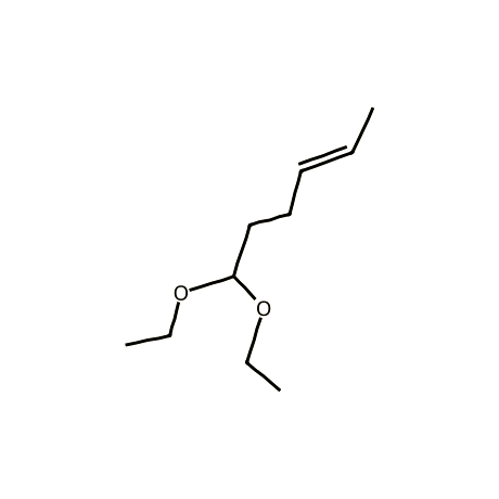 CC=CCCC(OCC)OCC